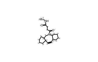 CCCCNC(=O)CCC(=O)N1CC2CCCCC2C#CC2CCCCC21